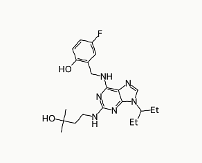 CCC(CC)n1cnc2c(NCc3cc(F)ccc3O)nc(NCCC(C)(C)O)nc21